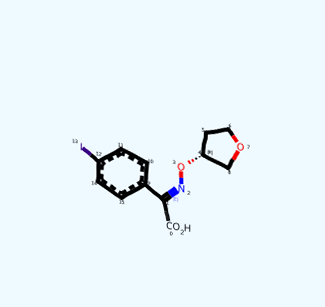 O=C(O)/C(=N/O[C@@H]1CCOC1)c1ccc(I)cc1